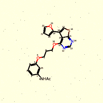 CC(=O)Nc1cccc(OCCCOc2ncnc3scc(-c4ccco4)c23)c1